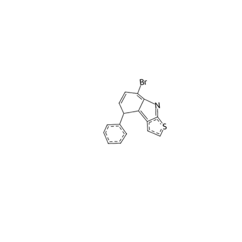 BrC1=C2N=c3sccc3=C2C(c2ccccc2)C=C1